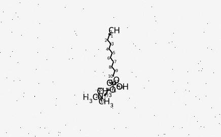 C#CCCCCCCCCCOP(=O)(O)OCC[N+](C)(C)C